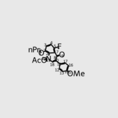 CCCOc1ccc(F)c2c(=O)c(-c3ccc(OC)cc3)cn(OC(C)=O)c12